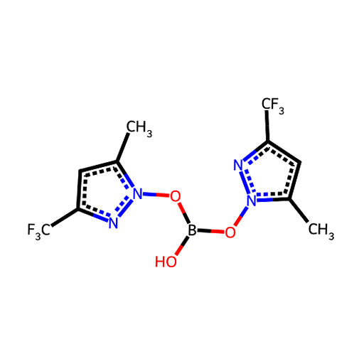 Cc1cc(C(F)(F)F)nn1OB(O)On1nc(C(F)(F)F)cc1C